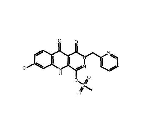 CS(=O)(=O)Oc1nn(Cc2ccccn2)c(=O)c2c(=O)c3ccc(Cl)cc3[nH]c12